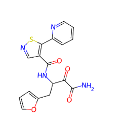 NC(=O)C(=O)C(Cc1ccco1)NC(=O)c1cnsc1-c1ccccn1